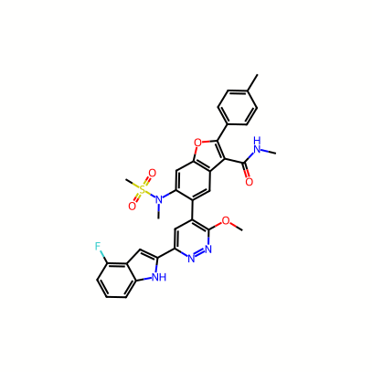 CNC(=O)c1c(-c2ccc(C)cc2)oc2cc(N(C)S(C)(=O)=O)c(-c3cc(-c4cc5c(F)cccc5[nH]4)nnc3OC)cc12